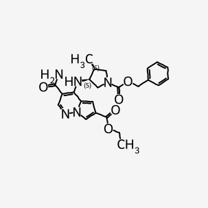 CCOC(=O)c1cc2c(N[C@@H]3CN(C(=O)OCc4ccccc4)C[C@@H]3C)c(C(N)=O)cnn2c1